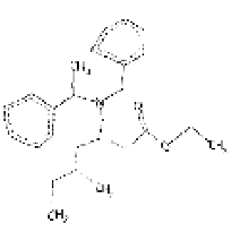 CCOC(=O)C[C@H](C[C@H](C)CC)N(Cc1ccccc1)C(C)c1ccccc1